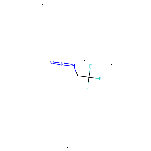 [N-]=[N+]=N[CH]C(F)(F)F